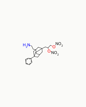 NCCC12CC3CC(CC(CO[N+](=O)[O-])O[N+](=O)[O-])(C1)CC(c1ccccc1)(C3)C2